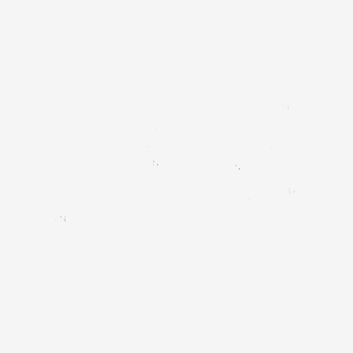 CC(C)(C)OC(=O)c1cc2cc(NC(=O)C(Cc3ccccc3)OS(=O)(=O)c3ccc([N+](=O)[O-])cc3)ccc2n1C(=O)OC(C)(C)C